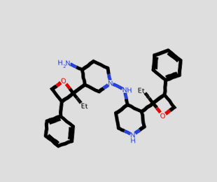 CCC1(C2CN(NC3CCNCC3C3(CC)OCC3c3ccccc3)CCC2N)OCC1c1ccccc1